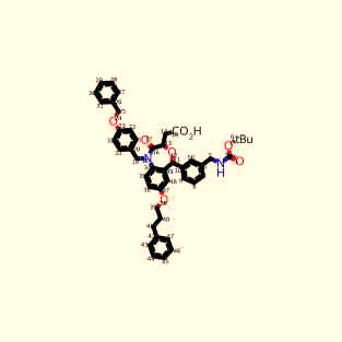 CC(C)(C)OC(=O)NCc1cccc(C2OC(CC(=O)O)C(=O)N(Cc3ccc(OCc4ccccc4)cc3)c3ccc(OCCCc4ccccc4)cc32)c1